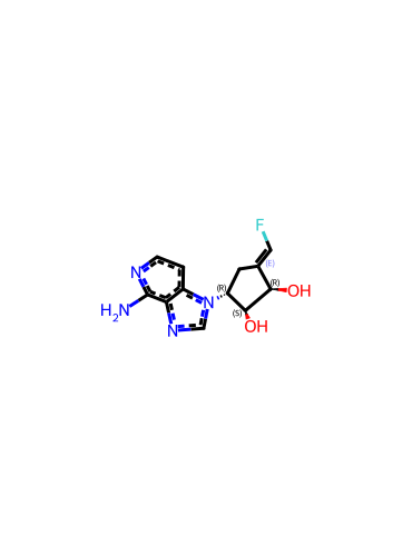 Nc1nccc2c1ncn2[C@@H]1C/C(=C\F)[C@@H](O)[C@H]1O